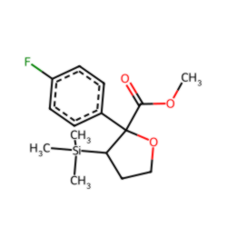 COC(=O)C1(c2ccc(F)cc2)OCCC1[Si](C)(C)C